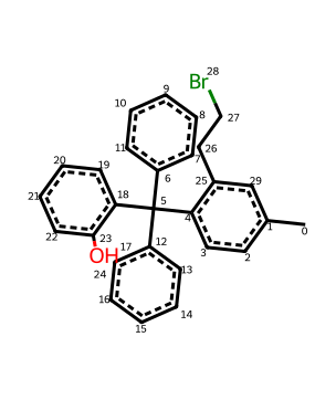 Cc1ccc(C(c2ccccc2)(c2ccccc2)c2ccccc2O)c(CCBr)c1